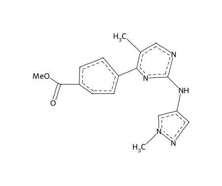 COC(=O)c1ccc(-c2nc(Nc3cnn(C)c3)ncc2C)cc1